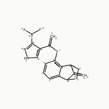 C=C(Sc1cccc2c1C1CCC2C1=C)c1c[nH]nc1C(F)F